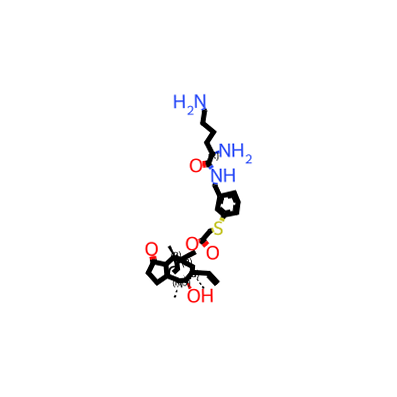 C=C[C@]1(C)C[C@@H](OC(=O)CSc2cccc(CNC(=O)[C@H](N)CCCCN)c2)[C@]2(C)C(C)CCC3(CCC(=O)C32)[C@@H](C)[C@@H]1O